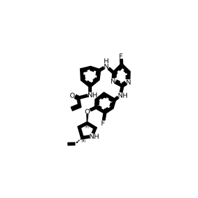 C=CC(=O)Nc1cccc(Nc2nc(Nc3ccc(O[C@H]4CN[C@H](CC)C4)c(F)c3)ncc2F)c1